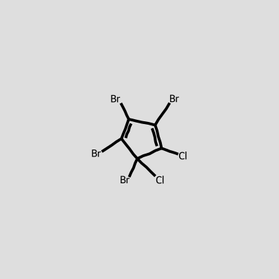 ClC1=C(Br)C(Br)=C(Br)C1(Cl)Br